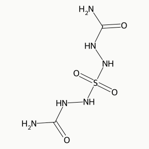 NC(=O)NNS(=O)(=O)NNC(N)=O